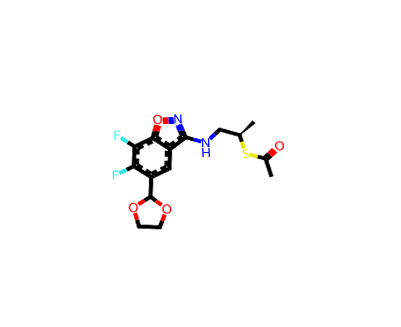 CC(=O)S[C@H](C)CNc1noc2c(F)c(F)c(C3OCCO3)cc12